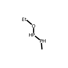 CCOPPC